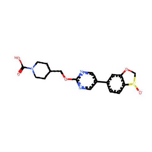 O=C(O)N1CCC(COc2ncc(-c3ccc4c(c3)OC[S+]4[O-])cn2)CC1